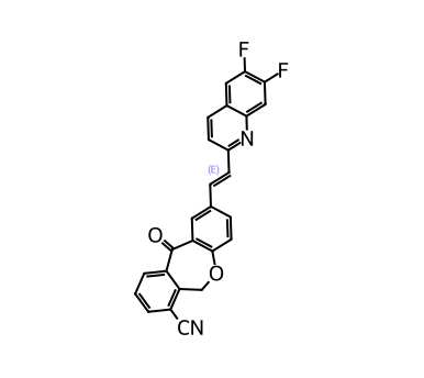 N#Cc1cccc2c1COc1ccc(/C=C/c3ccc4cc(F)c(F)cc4n3)cc1C2=O